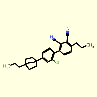 CCCc1ccc(-c2ccc(C34CCC(CCC)(CC3)CC4)cc2Cl)c(C#N)c1C#N